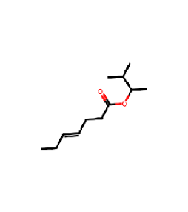 CC/C=C/CCC(=O)OC(C)C(C)C